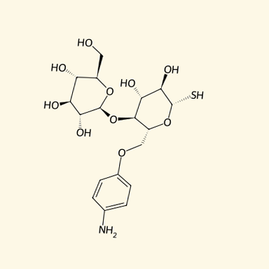 Nc1ccc(OC[C@H]2O[C@@H](S)[C@H](O)[C@@H](O)[C@@H]2O[C@@H]2O[C@H](CO)[C@@H](O)[C@H](O)[C@H]2O)cc1